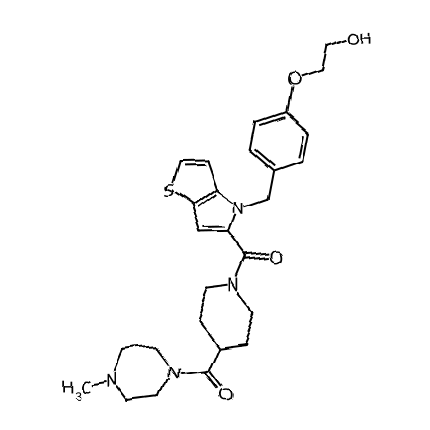 CN1CCN(C(=O)C2CCN(C(=O)c3cc4sccc4n3Cc3ccc(OCCO)cc3)CC2)CC1